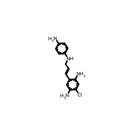 Nc1ccc(NCC=Cc2cc(N)c(Cl)cc2N)cc1